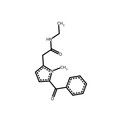 CCNC(=O)Cc1ccc(C(=O)c2ccccc2)n1C